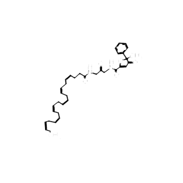 CC/C=C\C/C=C\C/C=C\C/C=C\C/C=C\C/C=C\CCC(=O)NCC(=O)CNC(=O)C1=CC(=O)C(C)(c2ccccc2)O1